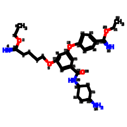 CCOC(=N)CCCCOc1cc(Oc2ccc(C(=N)OCC)cc2)cc(C(=O)NC2CCC(N)CC2)c1